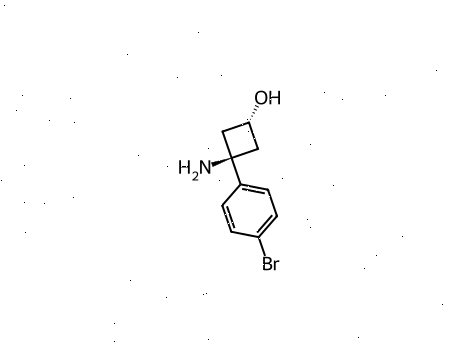 N[C@]1(c2ccc(Br)cc2)C[C@@H](O)C1